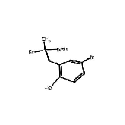 CC[C@](C)(Cc1cc(Br)ccc1O)NC